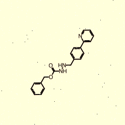 O=C(NNCc1ccc(-c2ccccn2)cc1)OCc1ccccc1